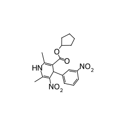 CC1=C(C(=O)OC2CCCC2)C(c2cccc([N+](=O)[O-])c2)C([N+](=O)[O-])=C(C)N1